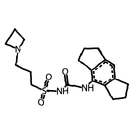 O=C(Nc1c2c(cc3c1CCC3)CCC2)NS(=O)(=O)CCCN1CCC1